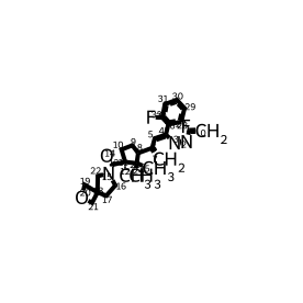 C=C/N=N\C(=C/C(=C)C1CC[C@](C)(C(=O)N2CCC3(COC3)C2)C1(C)C)c1c(F)cccc1F